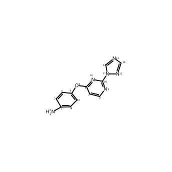 Nc1ccc(Oc2ccnc(-n3cncn3)n2)cc1